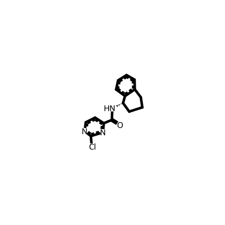 O=C(N[C@H]1CCCc2ccccc21)c1ccnc(Cl)n1